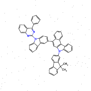 CC1(C)c2ccccc2-c2ccc(-n3c4ccccc4c4c5ccccc5c(-c5ccc6c(c5)c5ccccc5n6-c5nc(-c6ccccc6)c6ccccc6n5)cc43)cc21